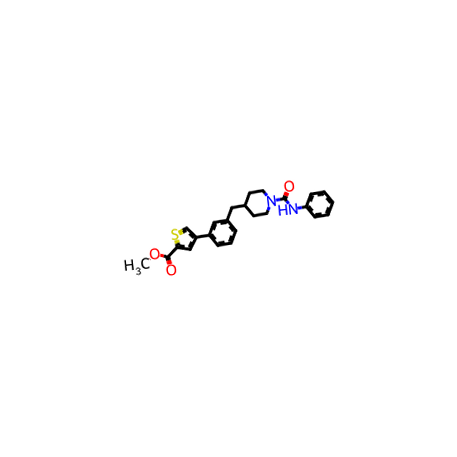 COC(=O)c1cc(-c2cccc(CC3CCN(C(=O)Nc4ccccc4)CC3)c2)cs1